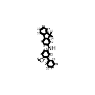 COc1ccc(Nc2ccc3c(c2)C(C)(C)c2ccccc2-3)cc1-c1ccccc1